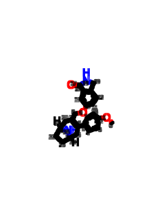 COc1ccc(C2=C(COc3ccc4c(c3)C(=O)NC4)C[C@@H]3CC[C@H](C2)N3)cc1